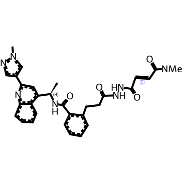 CNC(=O)/C=C/C(=O)NNC(=O)CCc1ccccc1C(=O)N[C@H](C)c1cc(-c2cnn(C)c2)nc2ccccc12